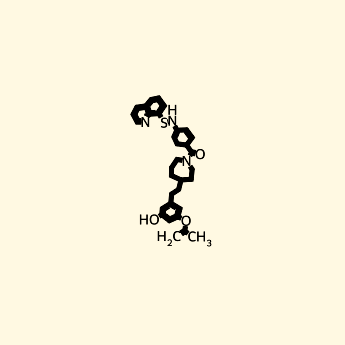 C=C(C)Oc1cc(O)cc(CCC2CCCN(C(=O)C3C=CC(NSc4cccc5cccnc45)=CC3)CC2)c1